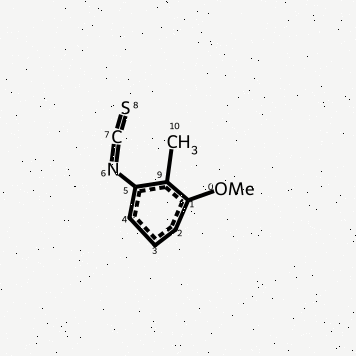 COc1cccc(N=C=S)c1C